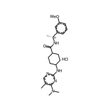 COc1cccc([C@@H](C)NC(=O)C2CCC(Nc3ncc(C)c(N(C)C)n3)CC2)c1.Cl